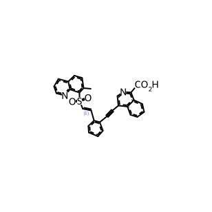 Cc1ccc2cccnc2c1S(=O)(=O)/C=C/c1ccccc1C#Cc1cnc(C(=O)O)c2ccccc12